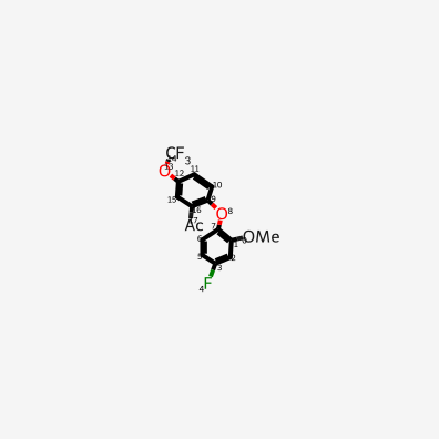 COc1cc(F)ccc1Oc1ccc(OC(F)(F)F)cc1C(C)=O